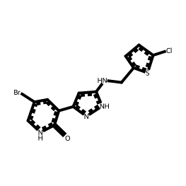 O=c1[nH]cc(Br)cc1-c1cc(NCc2ccc(Cl)s2)[nH]n1